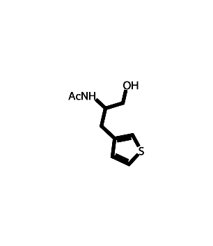 CC(=O)NC(CO)Cc1ccsc1